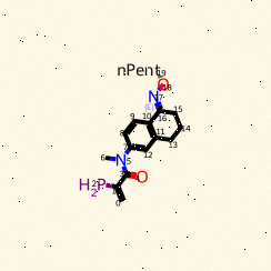 C=C(P)C(=O)N(C)c1ccc2c(c1)CCC/C2=N\OCCCCC